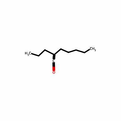 CCCCCC(=C=O)CCC